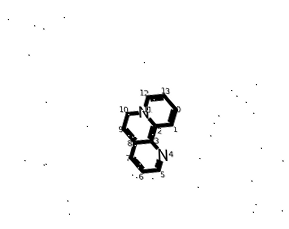 C1=CC2=c3ncccc3=CCN2C=C1